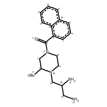 CCCCC1CN(C(=O)c2cccc3ccccc23)CCN1CC(N)CN